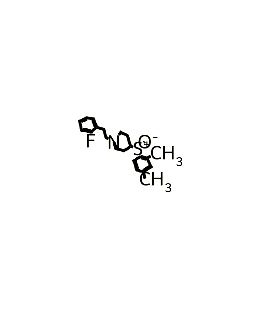 Cc1ccc([S+]([O-])C2CCN(CCc3ccccc3F)CC2)c(C)c1